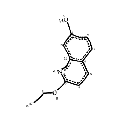 Oc1ccc2ccc(OCF)nc2c1